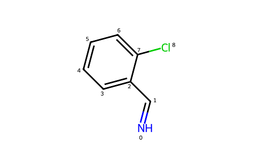 N=Cc1ccccc1Cl